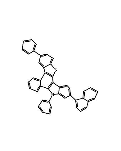 c1ccc(-c2ccc3sc4c(c3c2)c2ccccc2c2c4c3ccc(-c4cccc5ccccc45)cc3n2-c2ccccc2)cc1